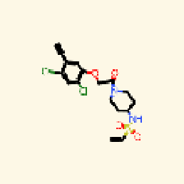 C#Cc1cc(OCC(=O)N2CCC(NS(=O)(=O)C=C)CC2)c(Cl)cc1Cl